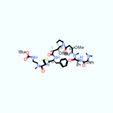 CC[C@H](C)[C@@H]([C@@H](CC(=O)N1CCC[C@H]1[C@H](OC)[C@@H](C)C(=O)N[C@@H](Cc1ccccc1)c1nc(C(=O)N(C)CCNC(=O)OC(C)(C)C)cs1)OC)N(C)C(=O)[C@@H](NC(=O)[C@H](C(C)C)N(C)C)C(C)C